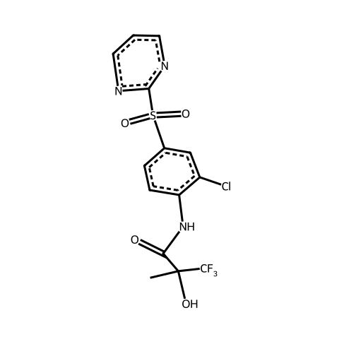 CC(O)(C(=O)Nc1ccc(S(=O)(=O)c2ncccn2)cc1Cl)C(F)(F)F